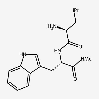 CNC(=O)[C@H](Cc1c[nH]c2ccccc12)NC(=O)[C@@H](N)CC(C)C